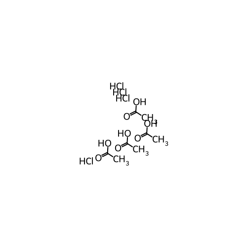 CC(=O)O.CC(=O)O.CC(=O)O.CC(=O)O.Cl.Cl.Cl.Cl